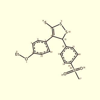 CCOc1ccc(C2=C([S])SSC2c2ccc(S(C)(=O)=O)cc2)cc1